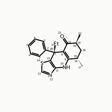 CC[C@@]1(c2ccccc2)C2=C(Nc3ncsc31)[C@@H](C)C[C@H](C)C2=O